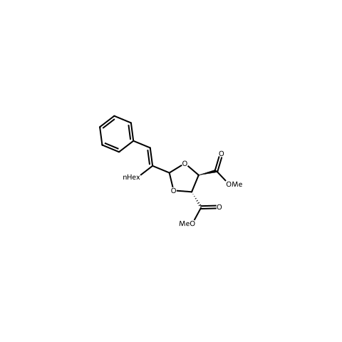 CCCCCC/C(=C\c1ccccc1)C1O[C@@H](C(=O)OC)[C@H](C(=O)OC)O1